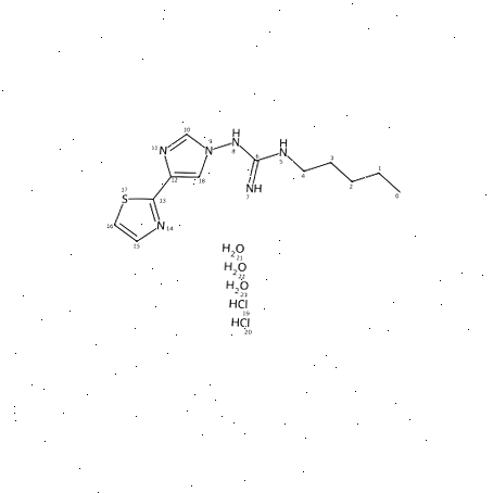 CCCCCNC(=N)Nn1cnc(-c2nccs2)c1.Cl.Cl.O.O.O